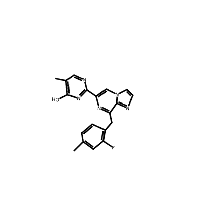 Cc1ccc(Cc2nc(-c3ncc(C)c(O)n3)cn3ccnc23)c(F)c1